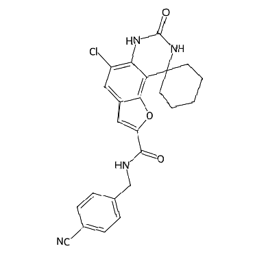 N#Cc1ccc(CNC(=O)c2cc3cc(Cl)c4c(c3o2)C2(CCCCC2)NC(=O)N4)cc1